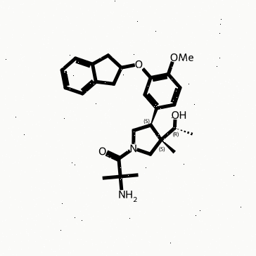 COc1ccc([C@@H]2CN(C(=O)C(C)(C)N)C[C@@]2(C)[C@@H](C)O)cc1OC1Cc2ccccc2C1